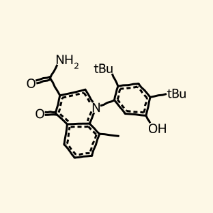 Cc1cccc2c(=O)c(C(N)=O)cn(-c3cc(O)c(C(C)(C)C)cc3C(C)(C)C)c12